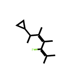 CC(C)=C(F)/C(C)=C(/C)C(C)C1CC1